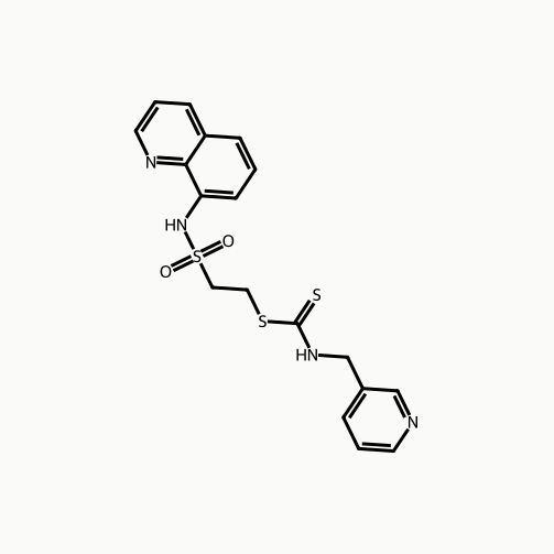 O=S(=O)(CCSC(=S)NCc1cccnc1)Nc1cccc2cccnc12